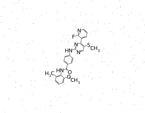 COc1cccc(C)c1NC(=O)c1ccc(Nc2ncc(SC)c(-c3cccnc3F)n2)cc1